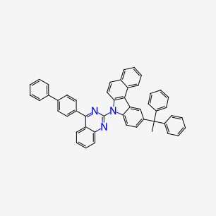 CC(c1ccccc1)(c1ccccc1)c1ccc2c(c1)c1c3ccccc3ccc1n2-c1nc(-c2ccc(-c3ccccc3)cc2)c2ccccc2n1